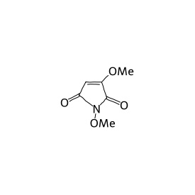 COC1=CC(=O)N(OC)C1=O